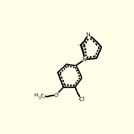 COc1ccc(-n2[c]ncc2)cc1Cl